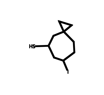 SC1CC(I)CCC2(CC2)C1